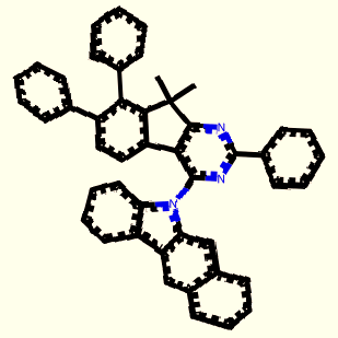 CC1(C)c2nc(-c3ccccc3)nc(-n3c4ccccc4c4cc5ccccc5cc43)c2-c2ccc(-c3ccccc3)c(-c3ccccc3)c21